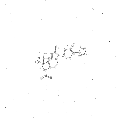 Cc1nc2c3c(ccn2c1-c1cnc(-n2nccn2)c(Cl)c1)N(C(N)=O)CC3(C)C(F)(F)F